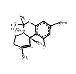 CCCCCc1cc(O)c2c(c1)OC(C)(C)[C@]1(C)CCC(C)=C[C@@]21C